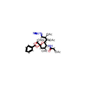 COC(=O)[C@@]1(OCc2ccccc2)C[C@H](OC(C)=O)[C@@H](NC(=O)COC(C)=O)[C@H]([C@H](OC(C)=O)[C@@H](CN=[N+]=[N-])OC(C)=O)O1